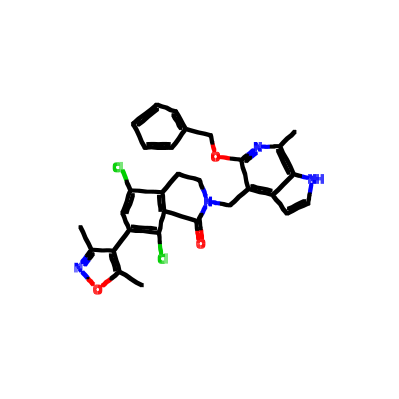 Cc1noc(C)c1-c1cc(Cl)c2c(c1Cl)C(=O)N(Cc1c(OCc3ccccc3)nc(C)c3[nH]ccc13)CC2